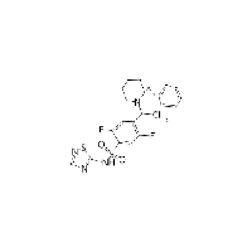 CC(c1cc(F)c(S(=O)(=O)Nc2ncns2)cc1F)N1CCCC[C@@H]1c1ccccc1